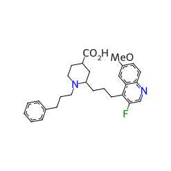 COc1ccc2ncc(F)c(CCCC3CC(C(=O)O)CCN3CCCc3ccccc3)c2c1